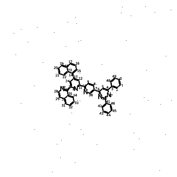 c1ccc(-c2cc(-c3ccc(-c4cc(-c5cccc6ccccc56)cc(-c5nccc6ccccc56)n4)nc3)nc(-c3ccccc3)n2)cc1